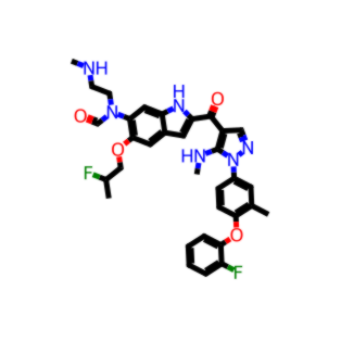 CNCCN(C=O)c1cc2[nH]c(C(=O)c3cnn(-c4ccc(Oc5ccccc5F)c(C)c4)c3NC)cc2cc1OCC(C)F